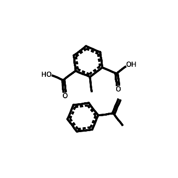 C=C(C)c1ccccc1.Cc1c(C(=O)O)cccc1C(=O)O